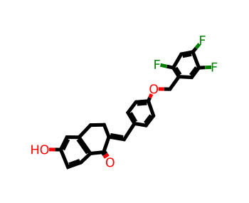 O=C1/C(=C/c2ccc(OCc3cc(F)c(F)cc3F)cc2)CCc2cc(O)ccc21